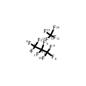 FC(F)(F)C(F)(F)C(F)(F)F.FC(F)(F)F